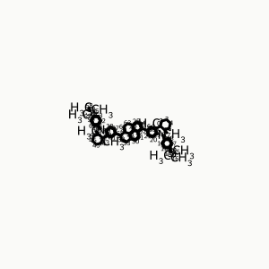 CC12CCCCC1(C)N(c1ccc([Si](C)(C)C)cc1)c1ccc(-c3ccc4c5c6c(ccc35)C=CC(c3ccc5c(c3)C3(C)CCCCC3(C)N5c3ccc([Si](C)(C)C)cc3)C6=CC4)cc12